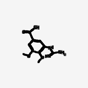 COc1cc(C(=O)O)cc(NC(=N)N)c1OC